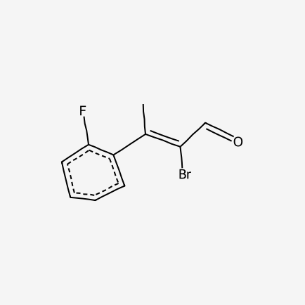 C/C(=C(/Br)C=O)c1ccccc1F